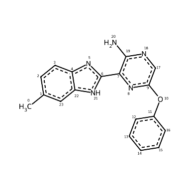 Cc1ccc2nc(-c3nc(Oc4ccccc4)cnc3N)[nH]c2c1